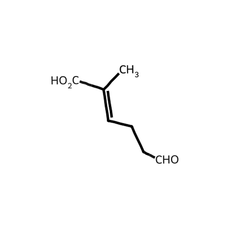 CC(=CCCC=O)C(=O)O